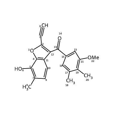 C#Cc1oc2c(O)c(C)ccc2c1C(=O)c1cc(C)c(C)c(OC)c1